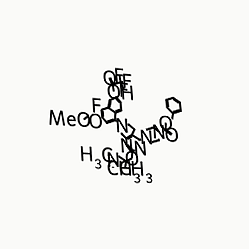 COCOc1cc(N2CCc3c(nc(OC(C)CN(C)C)nc3N3CCN(C(=O)OCc4ccccc4)CC3)C2)c2ccccc2c1F.O=C(O)C(F)(F)F